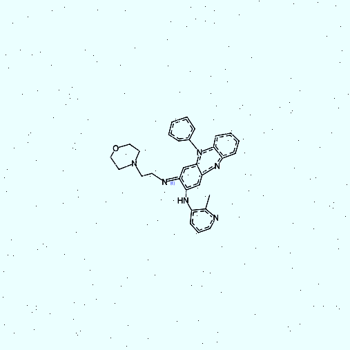 Cc1ncccc1Nc1cc2nc3ccccc3n(-c3ccccc3)c-2c/c1=N\CCN1CCOCC1